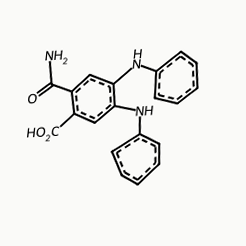 NC(=O)c1cc(Nc2ccccc2)c(Nc2ccccc2)cc1C(=O)O